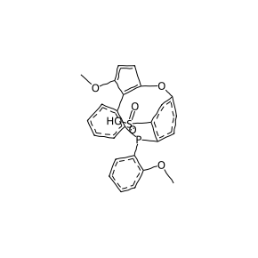 COC1=C=CC2=C1c1ccccc1P(c1ccccc1OC)c1ccc(cc1S(=O)(=O)O)O2